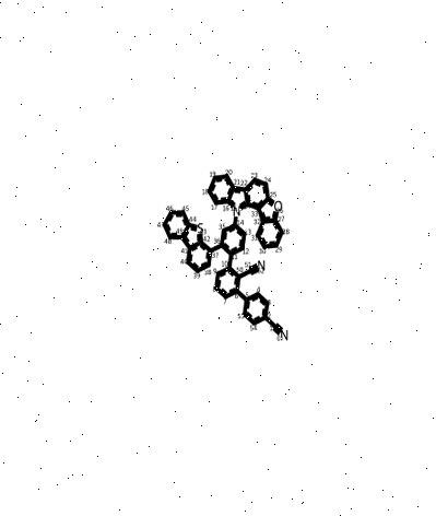 N#Cc1ccc(-c2cccc(-c3ccc(-n4c5ccccc5c5ccc6oc7ccccc7c6c54)cc3-c3cccc4c3sc3ccccc34)c2C#N)cc1